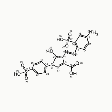 Nc1ccc(N=Nc2c(C(=O)O)nn(-c3ccc(S(=O)(=O)O)cc3)c2O)c(S(=O)(=O)O)c1